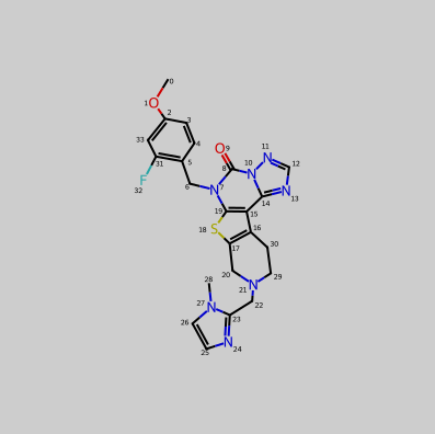 COc1ccc(Cn2c(=O)n3ncnc3c3c4c(sc32)CN(Cc2nccn2C)CC4)c(F)c1